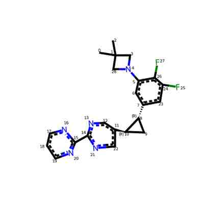 CC1(C)CN(c2cc([C@@H]3C[C@H]3c3cnc(-c4ncccn4)nc3)cc(F)c2F)C1